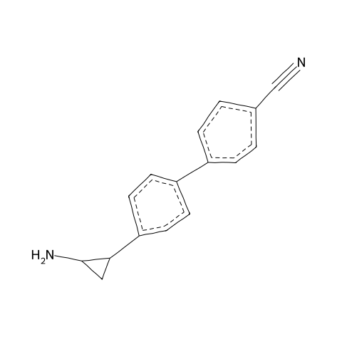 N#Cc1ccc(-c2ccc(C3CC3N)cc2)cc1